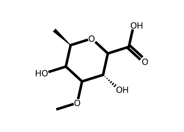 COC1C(O)[C@@H](C)OC(C(=O)O)[C@@H]1O